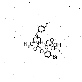 C[C@@H]1CN(Cc2ccc(F)cc2)CCN1C(=O)COc1ccc(Br)cc1OC(C)(C)C(=O)O